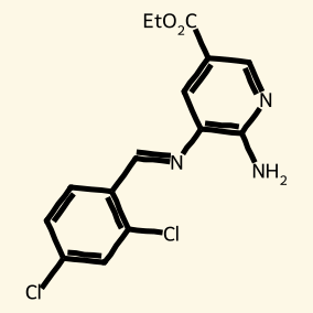 CCOC(=O)c1cnc(N)c(N=Cc2ccc(Cl)cc2Cl)c1